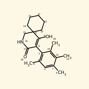 Cc1cc(C)c(C2=C(O)C3(CCCCC3)CNC2=O)c(C)c1C